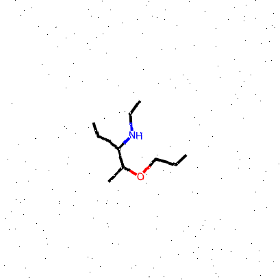 CCCOC(C)C(CC)NCC